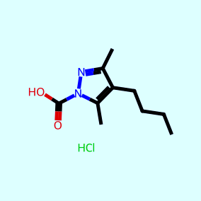 CCCCc1c(C)nn(C(=O)O)c1C.Cl